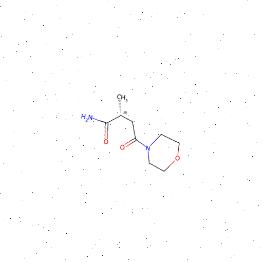 C[C@H]([CH]C(=O)N1CCOCC1)C(N)=O